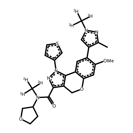 [2H]C([2H])([2H])N(C(=O)c1nn(-c2ccsc2)c2c1COc1cc(OC)c(-c3cn(C([2H])([2H])[2H])nc3C)cc1-2)C1CCOC1